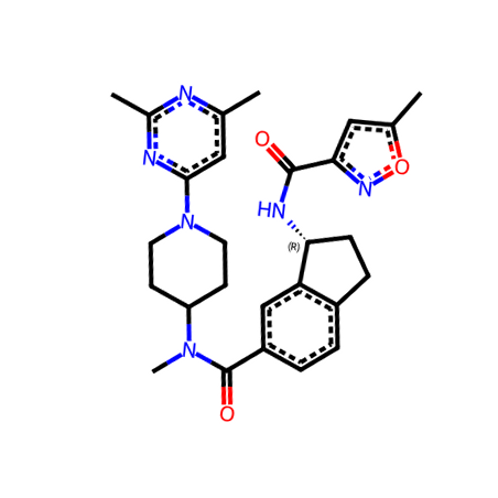 Cc1cc(N2CCC(N(C)C(=O)c3ccc4c(c3)[C@H](NC(=O)c3cc(C)on3)CC4)CC2)nc(C)n1